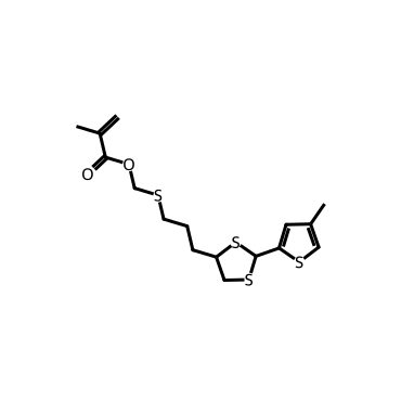 C=C(C)C(=O)OCSCCCC1CSC(c2cc(C)cs2)S1